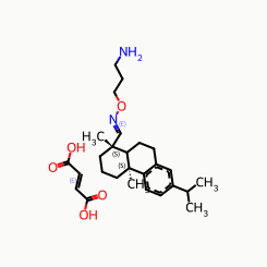 CC(C)c1ccc2c(c1)CCC1[C@@](C)(/C=N/OCCCN)CCC[C@]21C.O=C(O)/C=C/C(=O)O